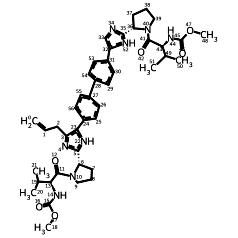 C=CCc1nc([C@@H]2CCCN2C(=O)[C@@H](NC(=O)OC)C(C)C)[nH]c1-c1ccc(-c2ccc(-c3cnc([C@@H]4CCCN4C(=O)[C@@H](NC(=O)OC)C(C)C)[nH]3)cc2)cc1